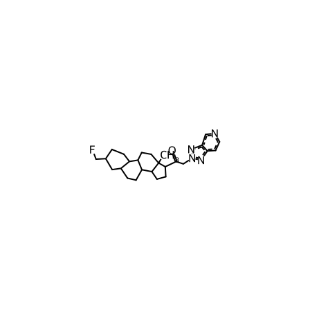 CC12CCC3C4CCC(CF)CC4CCC3C1CCC2C(=O)Cn1nc2ccncc2n1